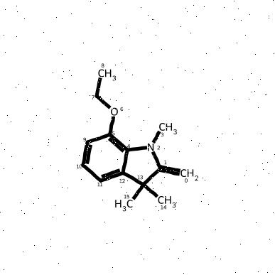 C=C1N(C)c2c(OCC)cccc2C1(C)C